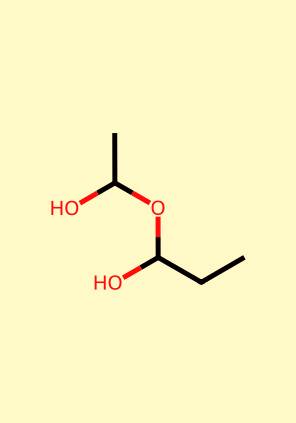 CCC(O)OC(C)O